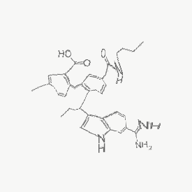 CCCNC(=O)c1ccc(C(CC)c2c[nH]c3cc(C(=N)N)ccc23)c(-c2ccc(C)cc2C(=O)O)c1